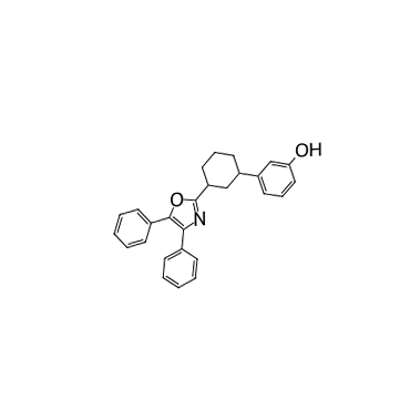 Oc1cccc(C2CCCC(c3nc(-c4ccccc4)c(-c4ccccc4)o3)C2)c1